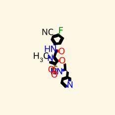 Cn1cc2c(c1C(=O)Nc1ccc(F)c(C#N)c1)OC[C@H](Cc1cccnc1)NS2(=O)=O